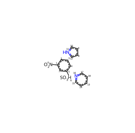 O=[N+]([O-])c1cccc(S(=O)(=O)O)c1.c1cc[nH]c1.c1ccncc1